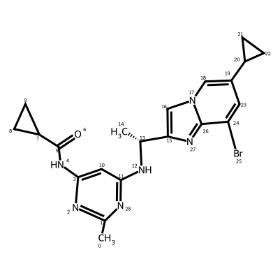 Cc1nc(NC(=O)C2CC2)cc(N[C@H](C)c2cn3cc(C4CC4)cc(Br)c3n2)n1